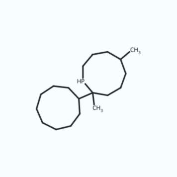 CC1CCCPC(C)(C2CCCCCCCC2)CCC1